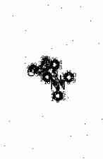 c1ccc(-c2nc(-c3ccccc3)nc(-c3cccc4c3Sc3ccccc3C43c4ccccc4-c4c3ccc3occc43)n2)cc1